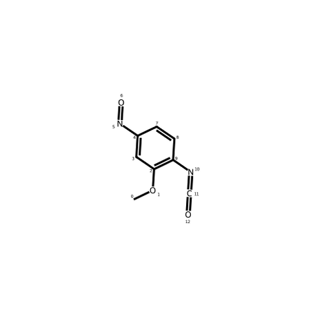 COc1cc(N=O)ccc1N=C=O